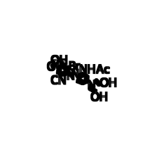 CC(=O)Nc1cc(N(CCO)CCO)ccc1/N=N/c1c(Br)cc([N+](=O)O)cc1C#N